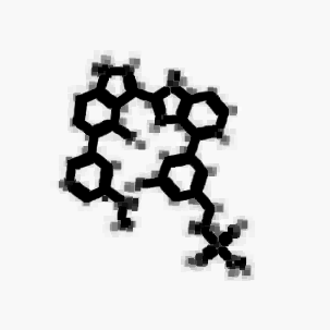 CC(C)Nc1cncc(-c2ccc3[nH]nc(-c4nc5c(-c6cc(F)cc(CNS(C)(=O)=O)c6)nccc5[nH]4)c3c2F)c1